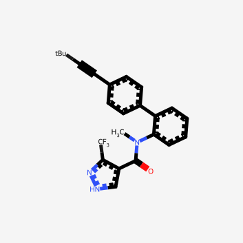 CN(C(=O)c1c[nH]nc1C(F)(F)F)c1ccccc1-c1ccc(C#CC(C)(C)C)cc1